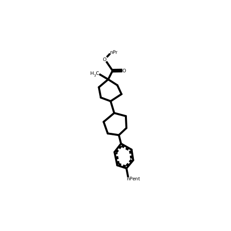 CCCCCc1ccc(C2CCC(C3CCC(C)(C(=O)OCCC)CC3)CC2)cc1